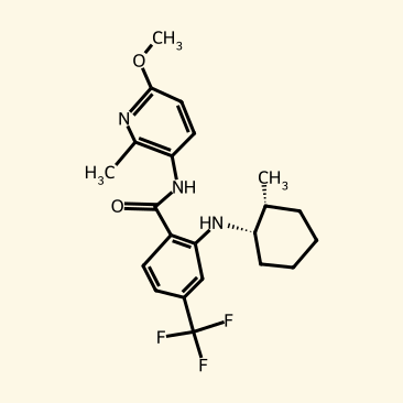 COc1ccc(NC(=O)c2ccc(C(F)(F)F)cc2N[C@H]2CCCC[C@H]2C)c(C)n1